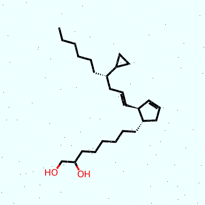 CCCCCC[C@@H](CC=C[C@H]1C=CC[C@@H]1CCCCCCC(O)CO)C1CC1